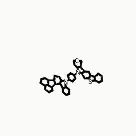 c1cc2c3c(cccc3c1)-c1c-2ccc2c1c1ccccc1n2-c1ccc(-n2c3ccccc3c3cc4c(cc32)sc2ccccc24)cc1